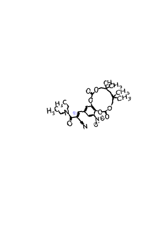 CCN(CC)C(=O)/C(C#N)=C/c1cc2c(c([N+](=O)[O-])c1)OC(=O)OCC(C)(C)CC(C)(C)COC(=O)O2